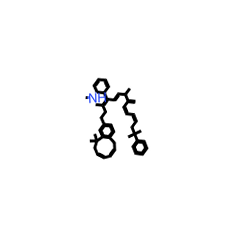 C=C(/C=C\C=C/CC(C)(C)c1ccccc1)C(C)/C=C/C(=C(/C)CCc1ccc2c(c1)C(C)(C)C/C=C\C=C/C2)C1C=CC=CC1NC